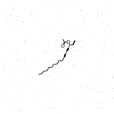 C=C[C@@H](C#CC#CCCCCCCCCCC)OC(C)=O